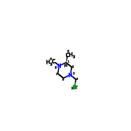 C[C@@H]1CN(CBr)CCN1C